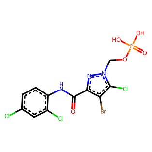 O=C(Nc1ccc(Cl)cc1Cl)c1nn(COP(=O)(O)O)c(Cl)c1Br